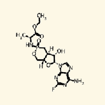 CCOC(=O)[C@H](C)NP1(=O)C[C@H]2[C@H](O)[C@H](n3cnc4c(N)nc(F)nc43)O[C@@H]2CO1